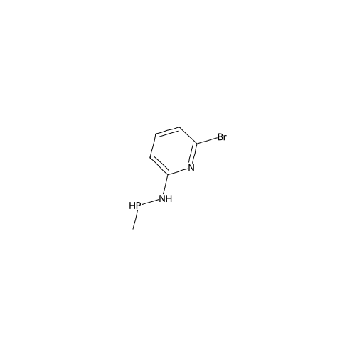 CPNc1cccc(Br)n1